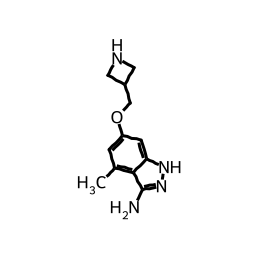 Cc1cc(OCC2CNC2)cc2[nH]nc(N)c12